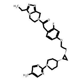 CCc1nnc2n1CCN(C(=O)Cc1ccc(OCC[C@@H]3C[C@@H]3C3CCN(c4ncc(C)cn4)CC3)cc1F)C2